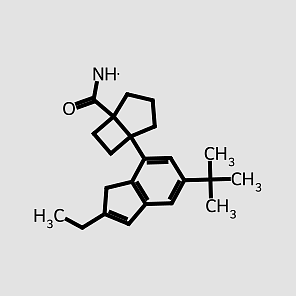 CCC1=Cc2cc(C(C)(C)C)cc(C34CCCC3(C([NH])=O)CC4)c2C1